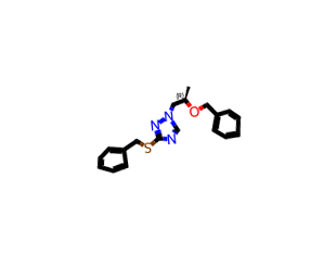 C[C@H](Cn1cnc(SCc2ccccc2)n1)OCc1ccccc1